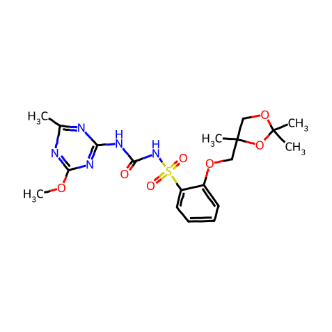 COc1nc(C)nc(NC(=O)NS(=O)(=O)c2ccccc2OCC2(C)COC(C)(C)O2)n1